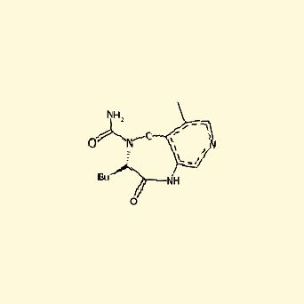 CC[C@H](C)[C@H]1C(=O)Nc2cncc(C)c2CN1C(N)=O